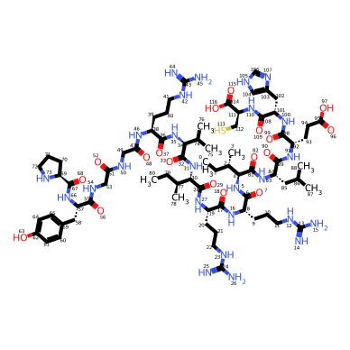 CC[C@H](C)[C@H](NC(=O)[C@H](CCCNC(=N)N)NC(=O)[C@H](CCCNC(=N)N)NC(=O)[C@@H](NC(=O)[C@@H](NC(=O)[C@H](CCCNC(=N)N)NC(=O)CNC(=O)CNC(=O)[C@H](Cc1ccc(O)cc1)NC(=O)[C@@H]1CCCN1)C(C)C)[C@@H](C)CC)C(=O)N[C@@H](CC(C)C)C(=O)N[C@@H](CCC(=O)O)C(=O)N[C@@H](Cc1c[nH]cn1)C(=O)N[C@@H](CS)C(=O)O